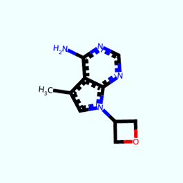 Cc1cn(C2COC2)c2ncnc(N)c12